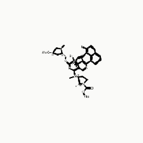 CO[C@@H]1C[C@@H](COc2nc(N(C)[C@@H]3CCN(C(=O)OC(C)(C)C)[C@@H]3C)c3cnc(-c4cccc5ccc(F)c(C#C[Si](C(C)C)(C(C)C)C(C)C)c45)c(F)c3n2)N(C)C1